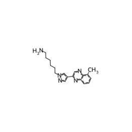 Cc1cccc2nc(-c3cnn(CCCCCCN)c3)cnc12